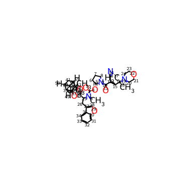 CN(C(=O)O[C@@H]1CCCN1C(=O)C(C#N)=CC(C)(C)N1CCOCC1)C(Cc1coc2ccccc12)B1O[C@@H]2C[C@@H]3C[C@@H](C3(C)C)[C@]2(C)O1